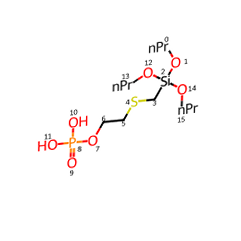 CCCO[Si](CSCCOP(=O)(O)O)(OCCC)OCCC